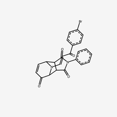 O=C(/C=C/N1C2C=CC(=O)C1C1C(=O)N(c3ccccc3)C(=O)C12)c1ccc(Br)cc1